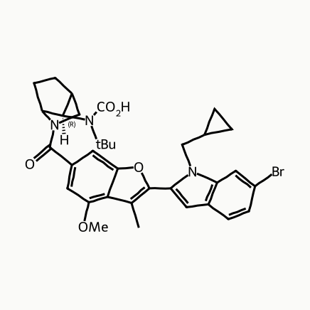 COc1cc(C(=O)N2CC3CCC2[C@@H]3N(C(=O)O)C(C)(C)C)cc2oc(-c3cc4ccc(Br)cc4n3CC3CC3)c(C)c12